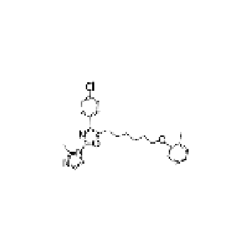 Cc1ccccc1OCCCCCCc1oc(-n2ccnc2C)nc1-c1ccc(Cl)cc1